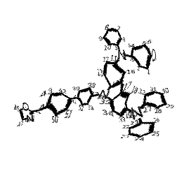 c1ccc(N(c2ccccc2)c2ccc3c(c2)c2cc(N(c4ccccc4)c4ccccc4)ccc2n3-c2ccc(-c3ccc(-c4ncco4)cc3)cc2)cc1